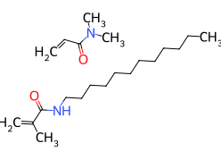 C=C(C)C(=O)NCCCCCCCCCCCC.C=CC(=O)N(C)C